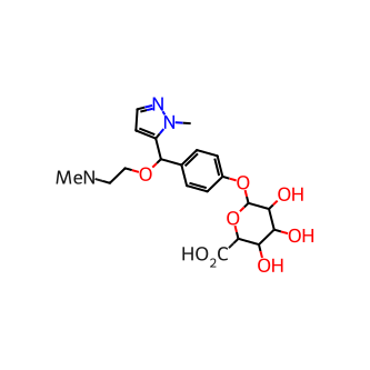 CNCCOC(c1ccc(OC2OC(C(=O)O)C(O)C(O)C2O)cc1)c1ccnn1C